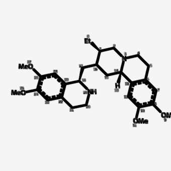 CC[C@H]1CN2CCc3cc(OC)c(OC)cc3[C@@H]2CC1C[C@H]1NCCc2cc(OC)c(OC)cc21